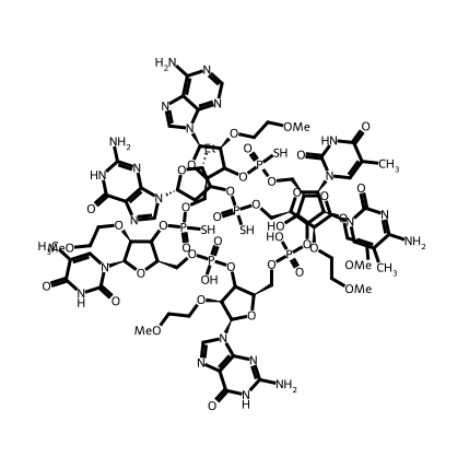 CC[C@H]1O[C@@H](n2cnc3c(=O)[nH]c(N)nc32)CC1OP(=O)(S)OC[C@H]1O[C@@H](n2cc(C)c(=O)[nH]c2=O)[C@@H](OCCOC)C1OP(=O)(O)OC[C@H]1O[C@@H](n2cnc3c(=O)[nH]c(N)nc32)[C@@H](OCCOC)C1OP(=O)(O)OC[C@H]1O[C@@H](n2cc(C)c(=O)[nH]c2=O)[C@@H](OCCOC)C1OP(=O)(S)OC[C@H]1O[C@@H](n2cnc3c(N)ncnc32)[C@@H](OCCOC)C1OP(=O)(S)OC[C@H]1O[C@@H](n2cc(C)c(N)nc2=O)[C@@H](OCCOC)C1O